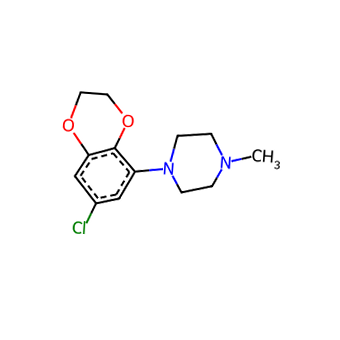 CN1CCN(c2cc(Cl)cc3c2OCCO3)CC1